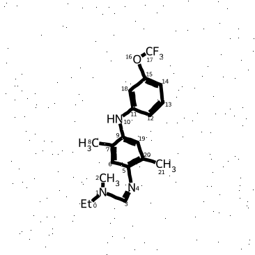 CCN(C)/C=N\c1cc(C)c(Nc2cccc(OC(F)(F)F)c2)cc1C